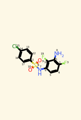 Nc1c(F)ccc(NS(=O)(=O)c2ccc(Cl)cc2)c1F